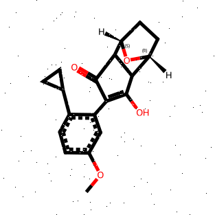 COc1ccc(C2CC2)c(C2=C(O)C3C(C2=O)[C@@H]2CC[C@H]3O2)c1